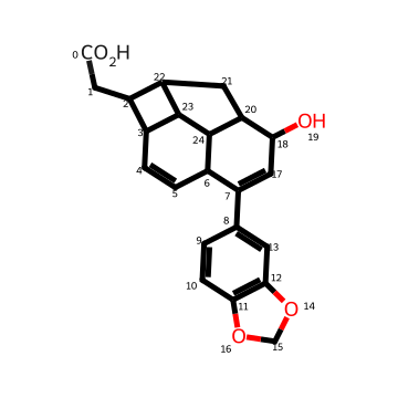 O=C(O)CC1C2C=CC3C(c4ccc5c(c4)OCO5)=CC(O)C4CC1C2C34